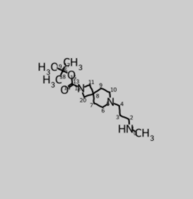 CNCCCN1CCC2(CC1)CN(C(=O)OC(C)(C)C)C2